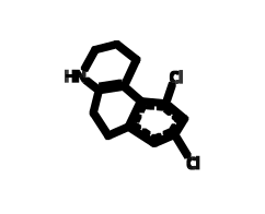 Clc1cc(Cl)c2c(c1)CCC1=C2CCCN1